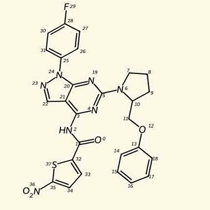 O=C(Nc1nc(N2CCCC2COc2ccccc2)nc2c1cnn2-c1ccc(F)cc1)c1ccc([N+](=O)[O-])s1